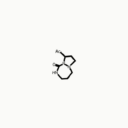 CC(=O)C1CCN2CCCNC(=O)N12